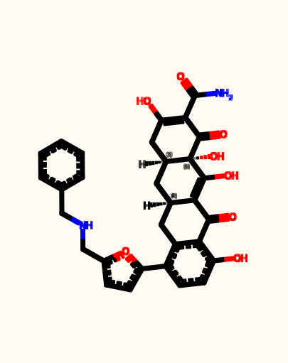 NC(=O)C1=C(O)C[C@@H]2C[C@@H]3Cc4c(-c5ccc(CNCc6ccccc6)o5)ccc(O)c4C(=O)C3=C(O)[C@]2(O)C1=O